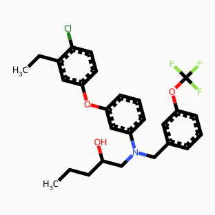 CCCC(O)CN(Cc1cccc(OC(F)(F)F)c1)c1cccc(Oc2ccc(Cl)c(CC)c2)c1